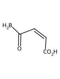 BC(=O)/C=C\C(=O)O